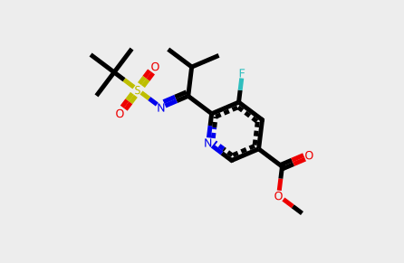 COC(=O)c1cnc(C(=NS(=O)(=O)C(C)(C)C)C(C)C)c(F)c1